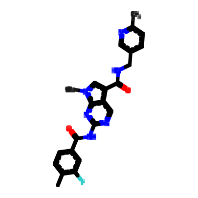 Cc1ccc(C(=O)Nc2ncc3c(C(=O)NCc4ccc(C(F)(F)F)nc4)cn(C(C)(C)C)c3n2)cc1F